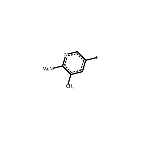 CNc1ncc(F)cc1C